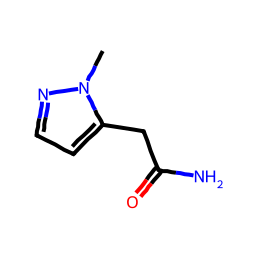 Cn1nccc1CC(N)=O